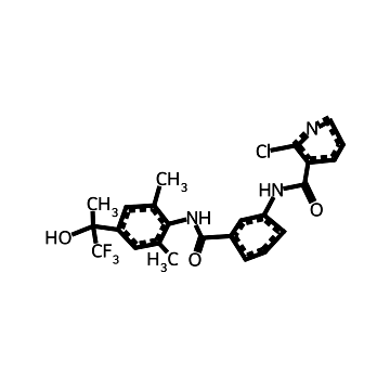 Cc1cc(C(C)(O)C(F)(F)F)cc(C)c1NC(=O)c1cccc(NC(=O)c2cccnc2Cl)c1